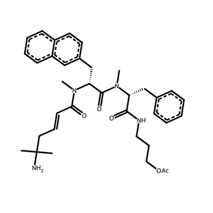 CC(=O)OCCCNC(=O)[C@@H](Cc1ccccc1)N(C)C(=O)[C@@H](Cc1ccc2ccccc2c1)N(C)C(=O)C=CCC(C)(C)N